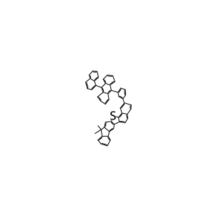 CC1(C)c2ccccc2-c2cc3c(cc21)sc1c2cc(-c4cccc(-c5c6ccccc6c(-c6cccc7ccccc67)c6ccccc56)c4)ccc2ccc31